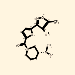 CC(=O)N(C)[C@@H]1CCCN(C(=O)c2ccc(-c3noc(C(F)(F)F)c3C)s2)C1